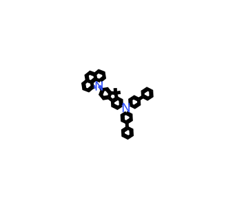 CC1(C)c2cc(N(c3ccc(-c4ccccc4)cc3)c3ccc(-c4ccccc4)cc3)ccc2-c2ccc(-n3c4cccc5ccc6cccc3c6c54)cc21